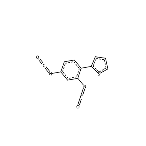 O=C=Nc1ccc(-c2cccs2)c(N=C=O)c1